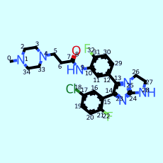 CN1CCN(CCC(=O)Nc2cc(-c3c(-c4cc(Cl)ccc4F)nc4n3CCN4)ccc2F)CC1